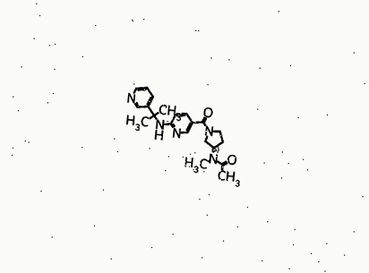 CC(=O)N(C)[C@H]1CCN(C(=O)c2ccc(NC(C)(C)c3cccnc3)nc2)C1